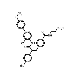 CC(C)(C)c1ccc(C(Cc2ccc(C(=O)NCCS(=O)(=O)O)cc2)C(=O)Nc2ccc(-c3ccc(OC(F)(F)F)cc3)cc2Cl)cc1